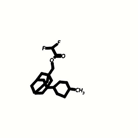 CC1CCC(C23CC4CC(CC(COC(=O)C(F)F)(C4)C2)C3)CC1